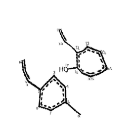 C=Cc1ccc(C)cc1.C=Cc1ccccc1O